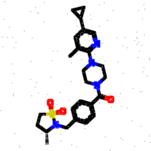 Cc1cc(C2CC2)cnc1N1CCN(C(=O)c2ccc(CN3[C@H](C)CCS3(=O)=O)cc2)CC1